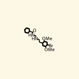 COc1cc(CCNCNC(=O)c2ccccc2)c(OC)cc1Br